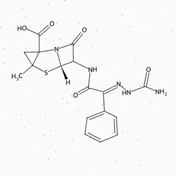 CC12CC1(C(=O)O)N1C(=O)C(NC(=O)C(=NNC(N)=O)c3ccccc3)[C@@H]1S2